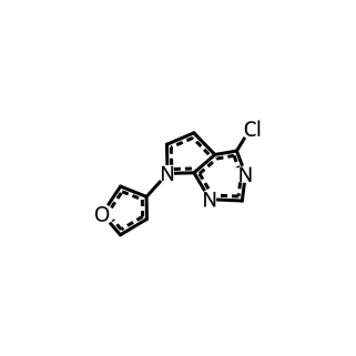 Clc1ncnc2c1ccn2-c1ccoc1